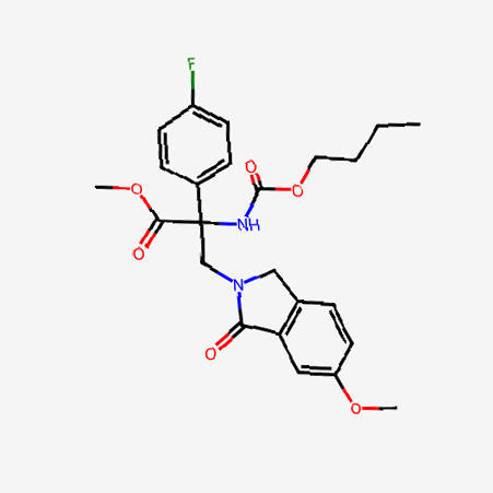 CCCCOC(=O)NC(CN1Cc2ccc(OC)cc2C1=O)(C(=O)OC)c1ccc(F)cc1